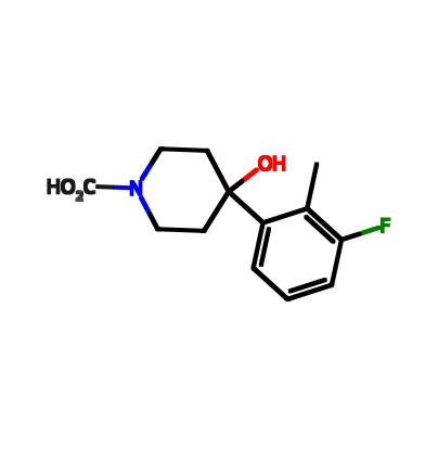 Cc1c(F)cccc1C1(O)CCN(C(=O)O)CC1